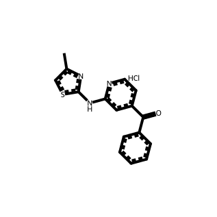 Cc1csc(Nc2cc(C(=O)c3ccccc3)ccn2)n1.Cl